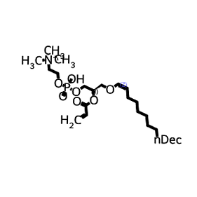 C=CC(=O)O[C@H](CO/C=C\CCCCCCCCCCCCCCCC)COP(=O)(O)OCC[N+](C)(C)C